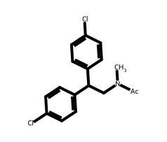 CC(=O)N(C)CC(c1ccc(Cl)cc1)c1ccc(Cl)cc1